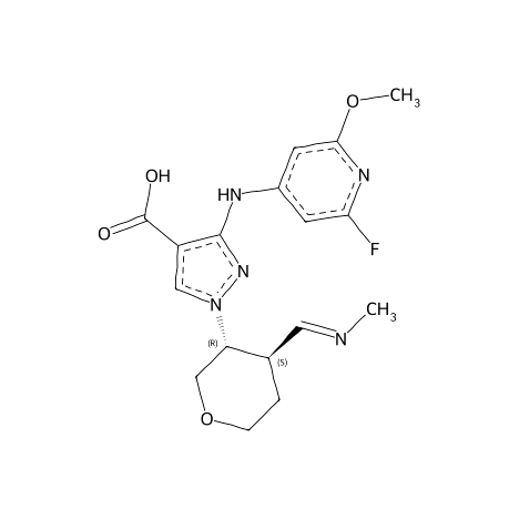 CN=C[C@H]1CCOC[C@@H]1n1cc(C(=O)O)c(Nc2cc(F)nc(OC)c2)n1